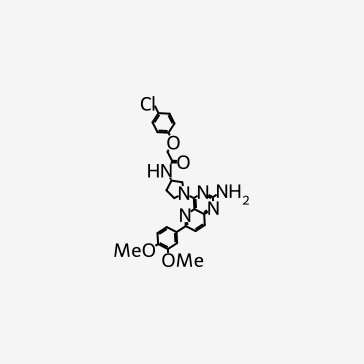 COc1ccc(-c2ccc3nc(N)nc(N4CC[C@@H](NC(=O)COc5ccc(Cl)cc5)C4)c3n2)cc1OC